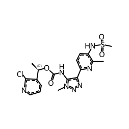 Cc1nc(-c2nnn(C)c2NC(=O)O[C@H](C)c2cccnc2Cl)ccc1NS(C)(=O)=O